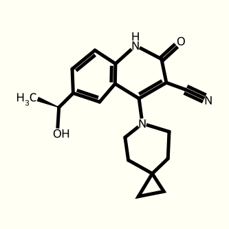 C[C@H](O)c1ccc2[nH]c(=O)c(C#N)c(N3CCC4(CC3)CC4)c2c1